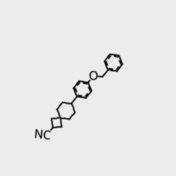 N#CC1CC2(CCC(c3ccc(OCc4ccccc4)cc3)CC2)C1